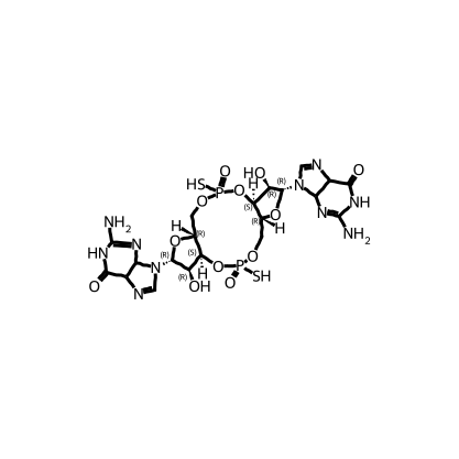 NC1=NC2C(N=CN2[C@@H]2O[C@@H]3COP(=O)(S)O[C@H]4[C@@H](O)[C@H](N5C=NC6C(=O)NC(N)=NC65)O[C@@H]4COP(=O)(S)O[C@H]3[C@H]2O)C(=O)N1